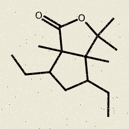 CCC1CC(CC)C2(C)C(C)(C)OC(=O)C12C